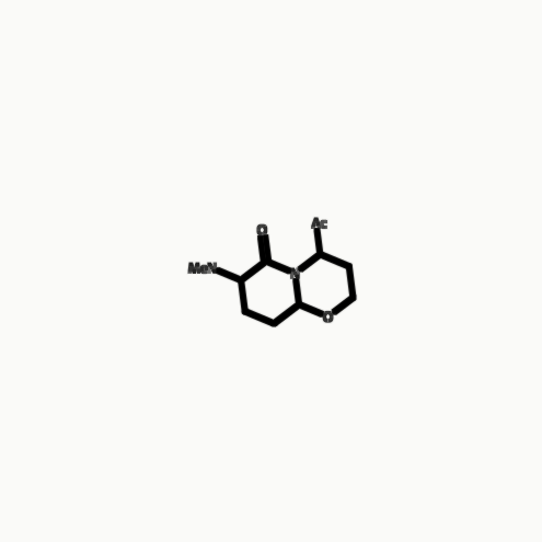 CNC1CCC2OCCC(C(C)=O)N2C1=O